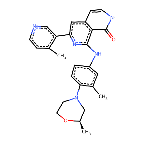 Cc1ccncc1-c1cc2c(c(Nc3ccc(N4CCO[C@H](C)C4)c(C)c3)n1)C(=O)[N]C=C2